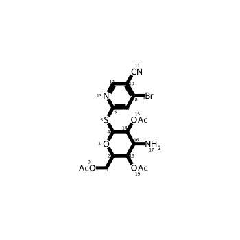 CC(=O)OCC1OC(Sc2cc(Br)c(C#N)cn2)C(OC(C)=O)C(N)C1OC(C)=O